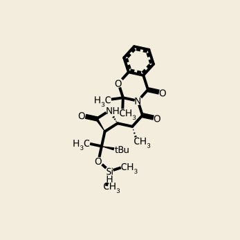 C[C@@H](C(=O)N1C(=O)c2ccccc2OC1(C)C)[C@H]1NC(=O)[C@@H]1[C@@](C)(O[SiH](C)C)C(C)(C)C